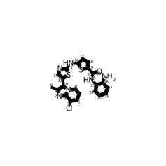 Cc1nc2c(Cl)cccn2c1-c1cnc(Nc2ccc(C(=O)Nc3ccccc3N)s2)s1